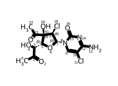 CC(=O)C(O)[C@H]1O[C@@H](n2cc(Cl)c(N)nc2=O)[C@H](Cl)[C@@]1(O)C(C)=O